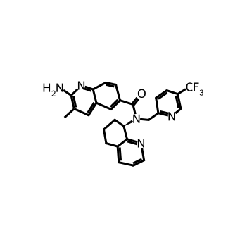 Cc1cc2cc(C(=O)N(Cc3ccc(C(F)(F)F)cn3)[C@@H]3CCCc4cccnc43)ccc2nc1N